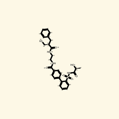 C[C@H](O)C(=O)NS(=O)(=O)c1ccccc1-c1ccc(C(=O)NCCNC(=O)[C@@H](CS)Cc2ccccc2)cc1